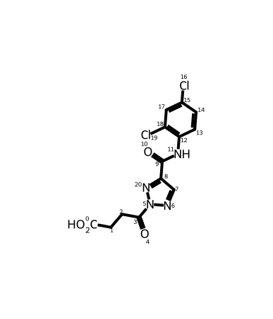 O=C(O)CCC(=O)n1ncc(C(=O)Nc2ccc(Cl)cc2Cl)n1